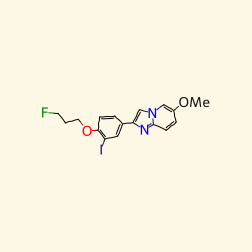 COc1ccc2nc(-c3ccc(OCCCF)c(I)c3)cn2c1